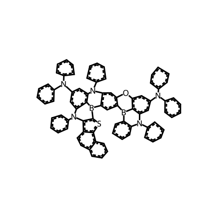 c1ccc(N(c2ccccc2)c2cc3c4c(c2)N(c2ccccc2)c2ccccc2B4c2cc4c(cc2O3)N(c2ccccc2)c2cc(N(c3ccccc3)c3ccccc3)cc3c2B4c2sc4c(ccc5ccccc54)c2N3c2ccccc2)cc1